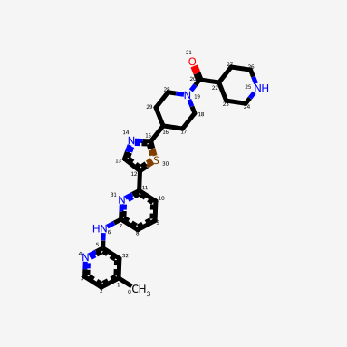 Cc1ccnc(Nc2cccc(-c3cnc(C4CCN(C(=O)C5CCNCC5)CC4)s3)n2)c1